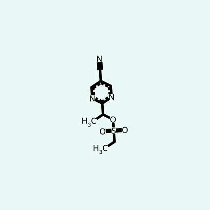 CCS(=O)(=O)OC(C)c1ncc(C#N)cn1